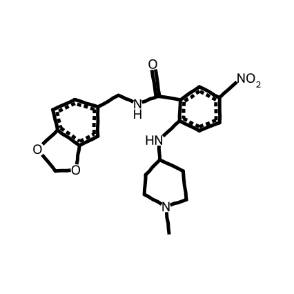 CN1CCC(Nc2ccc([N+](=O)[O-])cc2C(=O)NCc2ccc3c(c2)OCO3)CC1